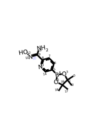 CC1(C)OB(c2ccc(/C(N)=N/O)nc2)OC1(C)C